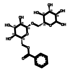 O=C(OC[C@H]1O[C@@H](OC[C@H]2OC(O)[C@H](O)[C@@H](O)[C@@H]2O)[C@H](O)[C@@H](O)[C@@H]1O)c1ccccc1